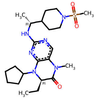 CC[C@@H]1C(=O)N(C)c2cnc(N[C@H](C)C3CCN(S(C)(=O)=O)CC3)nc2N1C1CCCC1